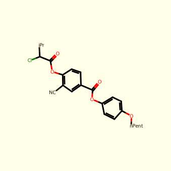 CCCCCOc1ccc(OC(=O)c2ccc(OC(=O)C(Cl)C(C)C)c(C#N)c2)cc1